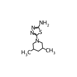 CC1CC(C)CN(c2nnc(N)s2)C1